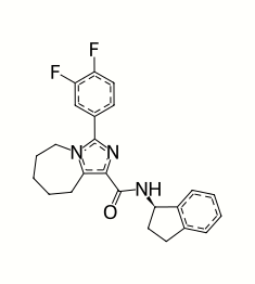 O=C(N[C@@H]1CCc2ccccc21)c1nc(-c2ccc(F)c(F)c2)n2c1CCCCC2